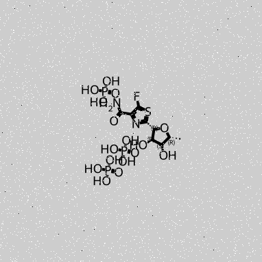 C[C@H]1O[C@@H](c2nc(C(N)=O)c(F)s2)[C@H](O)[C@@H]1O.O=P(O)(O)O.O=P(O)(O)O.O=P(O)(O)O